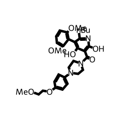 CCCCc1nc(O)c(C(=O)N2CCN(c3ccc(OCCOC)cc3)CC2)c(O)c1-c1c(OC)cccc1OC